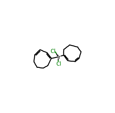 [Cl][Ir]([Cl])(/[C]1=C/C=C\CCCC1)/[C]1=C/C=C\CCCC1